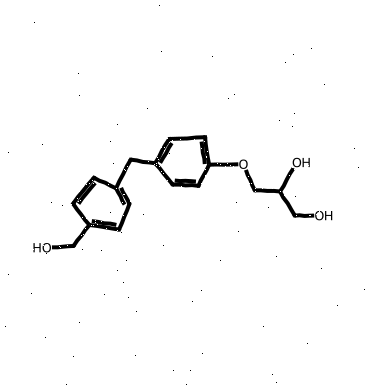 OCc1ccc(Cc2ccc(OCC(O)CO)cc2)cc1